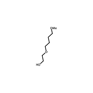 COCCCCOCCO